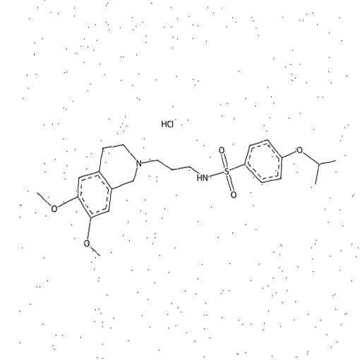 COc1cc2c(cc1OC)CN(CCCNS(=O)(=O)c1ccc(OC(C)C)cc1)CC2.Cl